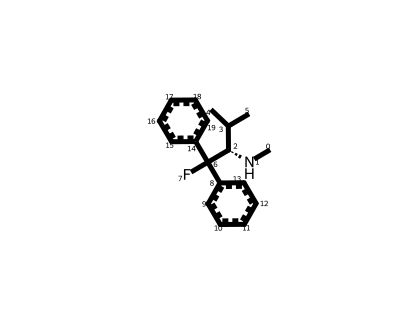 CN[C@@H](C(C)C)C(F)(c1ccccc1)c1ccccc1